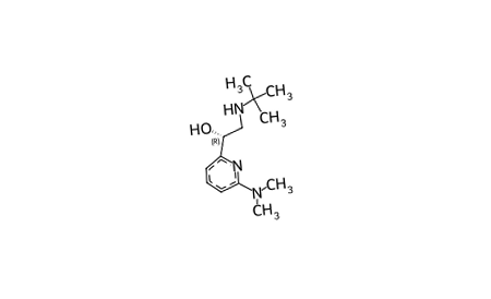 CN(C)c1cccc([C@H](O)CNC(C)(C)C)n1